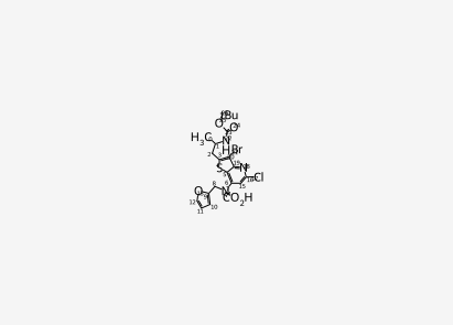 CC(Cc1sc2c(N(Cc3ccco3)C(=O)O)cc(Cl)nc2c1Br)NC(=O)OC(C)(C)C